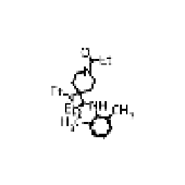 CCC(=O)N1CCC(C(=O)Nc2c(C)cccc2C)(N(CC)CC)CC1